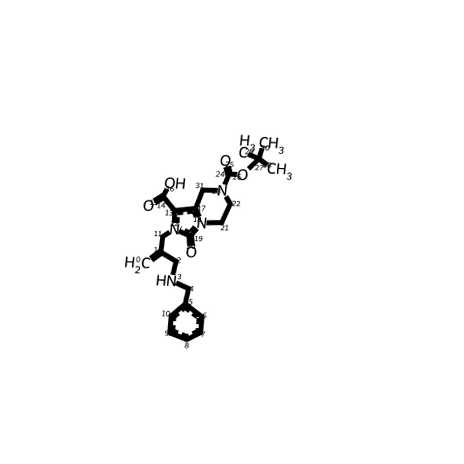 C=C(CNCc1ccccc1)Cn1c(C(=O)O)c2n(c1=O)CCN(C(=O)OC(C)(C)C)C2